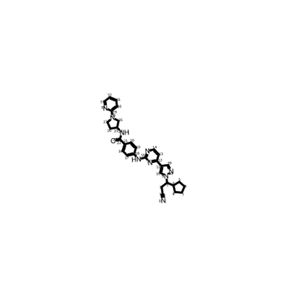 N#CCC(C1CCCC1)n1cc(-c2ccnc(Nc3ccc(C(=O)NC4CCN(c5ccccn5)C4)cc3)n2)cn1